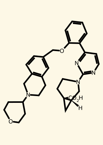 O=C(O)[C@@]12CCN(c3nccc(-c4ccccc4OCc4ccc5c(c4)CCN(C4CCOCC4)C5)n3)C[C@@H]1C2